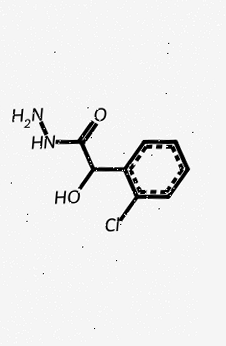 NNC(=O)C(O)c1ccccc1Cl